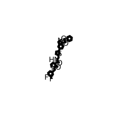 O=C(NCc1ccc(-c2ccc3c(cnn3S(=O)(=O)c3ccccc3)c2)s1)c1cccn(Cc2ccc(F)c(F)c2)c1=O